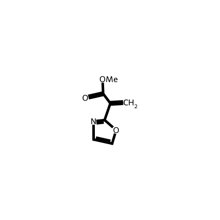 C=C(C(=O)OC)c1ncco1